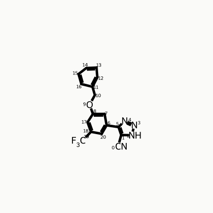 N#Cc1[nH]nnc1-c1cc(OCc2ccccc2)cc(C(F)(F)F)c1